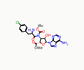 COC(=O)[C@H]1O[C@H](n2cnc3c(N)ncnc32)[C@H](O)[C@@H]1N(C(=O)OC(C)(C)C)C(=O)C(N)Cc1ccc(Cl)cc1